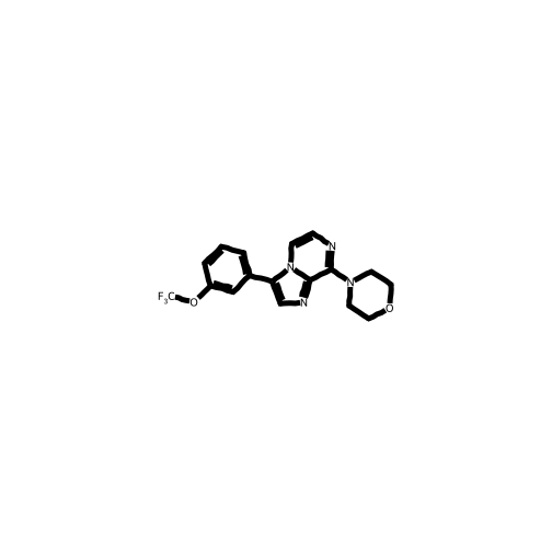 FC(F)(F)Oc1cccc(-c2cnc3c(N4CCOCC4)nccn23)c1